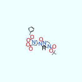 COC(=O)C1CC(N2C[C@@H]3CN(C(=O)OC(C)(C)C)CCN3C2=O)CN1C(=O)OCc1ccccc1